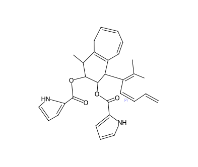 C=C/C=C\C(=C(C)C)C1C2=C(CC=CC=C2)C(C)C(OC(=O)c2ccc[nH]2)C1OC(=O)c1ccc[nH]1